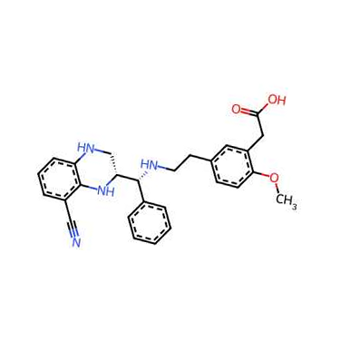 COc1ccc(CCN[C@H](c2ccccc2)[C@H]2CNc3cccc(C#N)c3N2)cc1CC(=O)O